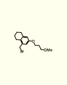 COCCCOc1cc(CBr)c2c(c1)CCCC2